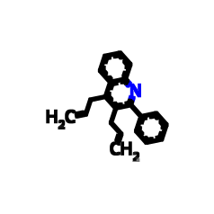 C=CCc1c(-c2ccccc2)nc2ccccc2c1CC=C